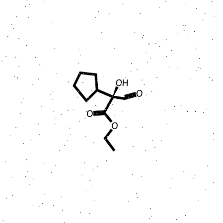 CCOC(=O)[C@@](O)(C=O)C1CCCC1